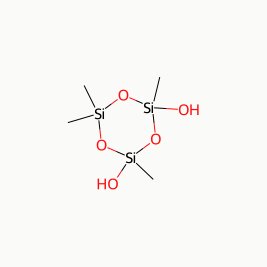 C[Si]1(C)O[Si](C)(O)O[Si](C)(O)O1